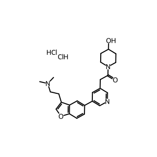 CN(C)CCc1coc2ccc(-c3cncc(CC(=O)N4CCC(O)CC4)c3)cc12.Cl.Cl